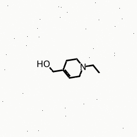 CCN1CC=C(CO)CC1